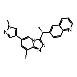 C[C@@H](c1ccc2ncccc2c1)c1nnc2c(F)cc(-c3cnn(C)c3)cn12